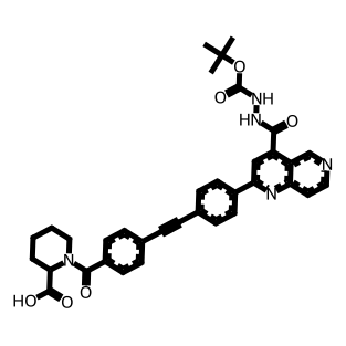 CC(C)(C)OC(=O)NNC(=O)c1cc(-c2ccc(C#Cc3ccc(C(=O)N4CCCCC4C(=O)O)cc3)cc2)nc2ccncc12